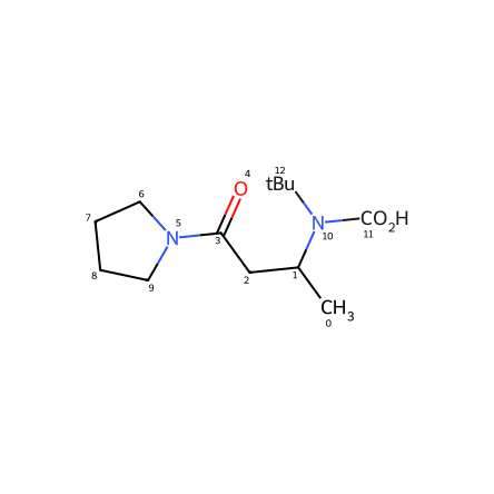 CC(CC(=O)N1CCCC1)N(C(=O)O)C(C)(C)C